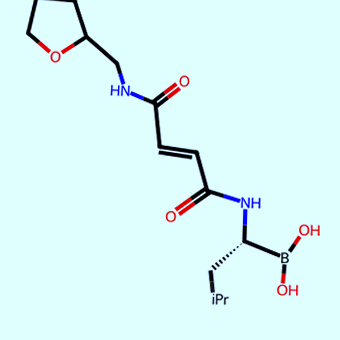 CC(C)C[C@H](NC(=O)/C=C/C(=O)NCC1CCCO1)B(O)O